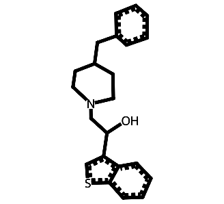 OC(CN1CCC(Cc2ccccc2)CC1)c1csc2ccccc12